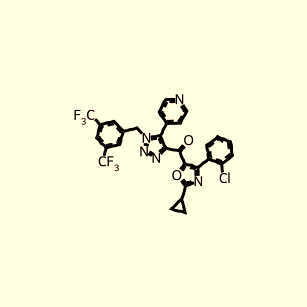 O=C(c1nnn(Cc2cc(C(F)(F)F)cc(C(F)(F)F)c2)c1-c1ccncc1)c1oc(C2CC2)nc1-c1ccccc1Cl